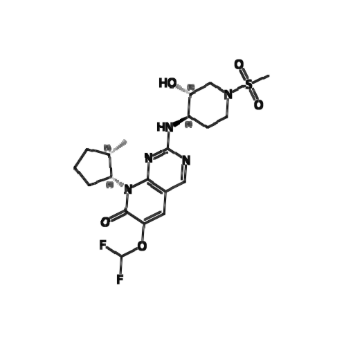 C[C@H]1CCC[C@H]1n1c(=O)c(OC(F)F)cc2cnc(N[C@@H]3CCN(S(C)(=O)=O)C[C@H]3O)nc21